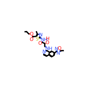 CCCOC(=O)c1sc(NC(=O)[C@H](O)CNc2nccc3ccc(-c4noc(C)n4)cc23)nc1C